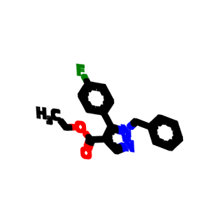 CCOC(=O)c1cnn(Cc2ccccc2)c1-c1ccc(F)cc1